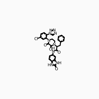 O=C(Nc1ccc2[nH]c(=O)[nH]c2c1)C(Cc1ccccc1)N1CCN(c2cc(Cl)ccc2-n2cnnn2)C(=O)C1=O